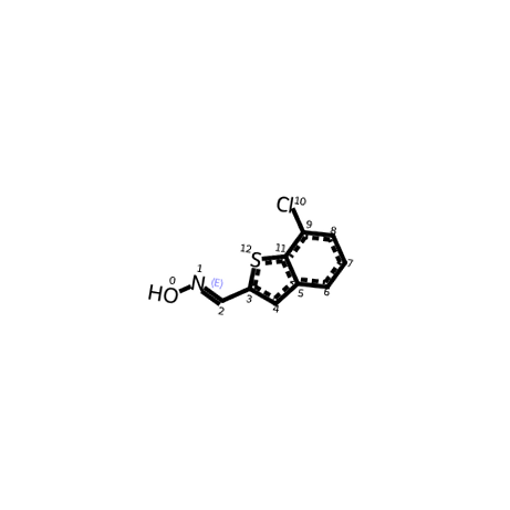 O/N=C/c1cc2cccc(Cl)c2s1